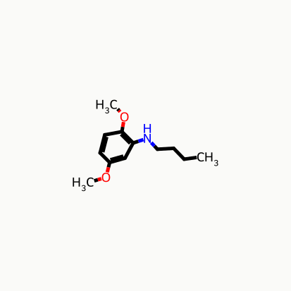 CCCCNc1cc(OC)ccc1OC